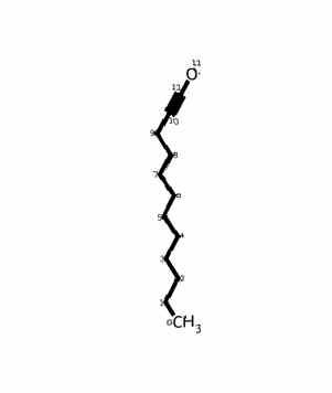 CCCCCCCCCCC#C[O]